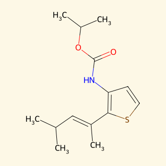 CC(=CC(C)C)c1sccc1NC(=O)OC(C)C